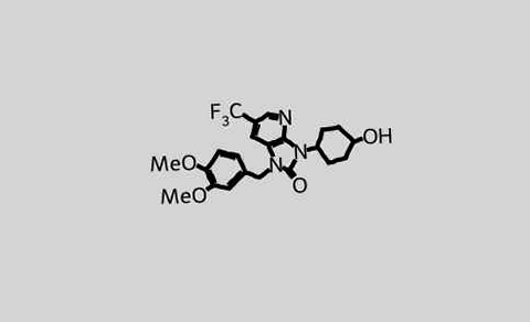 COc1ccc(Cn2c(=O)n(C3CCC(O)CC3)c3ncc(C(F)(F)F)cc32)cc1OC